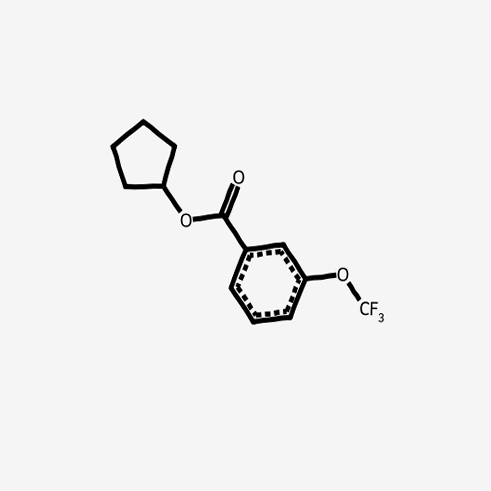 O=C(OC1CCCC1)c1cccc(OC(F)(F)F)c1